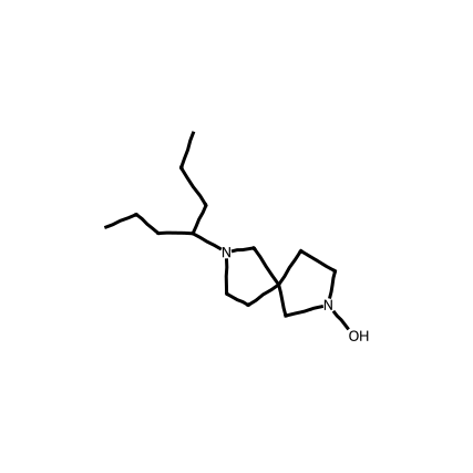 CCCC(CCC)N1CCC2(CCN(O)C2)C1